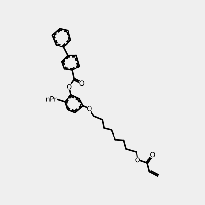 C=CC(=O)OCCCCCCCCOc1ccc(CCC)c(OC(=O)c2ccc(-c3ccccc3)cc2)c1